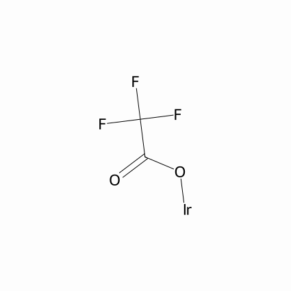 O=C([O][Ir])C(F)(F)F